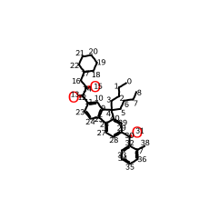 CCCCC1(CCCC)c2cc(C(=O)C(=O)CC3CCCCC3)ccc2-c2ccc(C(=O)c3ccccc3C)cc21